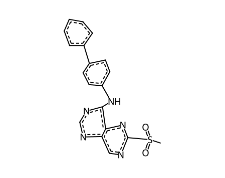 CS(=O)(=O)c1ncc2ncnc(Nc3ccc(-c4ccccc4)cc3)c2n1